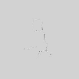 CC(=O)C(CCCC1CCCCC1)C(=O)OC(C)C